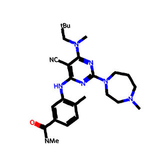 CNC(=O)c1ccc(C)c(Nc2nc(N3CCCN(C)CC3)nc(N(C)CC(C)(C)C)c2C#N)c1